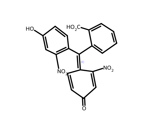 O=C1C=C/C(=C(/c2ccccc2C(=O)O)c2ccc(O)cc2[N+](=O)[O-])C([N+](=O)[O-])=C1